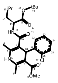 COC(=O)C1=C(C)NC(C)=C(C(=O)N[C@@H](CC(C)C)C(=O)OC(C)(C)C)C1c1ccccc1Cl